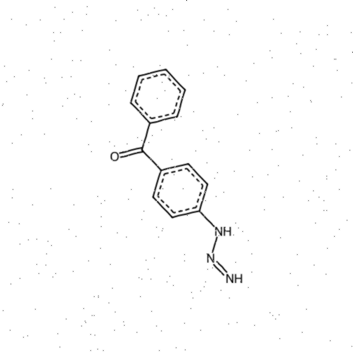 N=NNc1ccc(C(=O)c2ccccc2)cc1